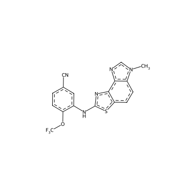 Cn1cnc2c3nc(Nc4cc(C#N)ccc4OC(F)(F)F)sc3ccc21